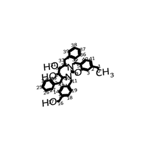 CCc1ccc(CN2C(=O)N(Cc3ccc(CO)cc3)C(Cc3ccccc3)C(O)C(O)C2Cc2ccccc2)cc1